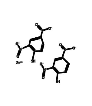 O=[N+]([O-])c1cc(S(=O)[O-])ccc1S.O=[N+]([O-])c1cc(S(=O)[O-])ccc1S.[Zn+2]